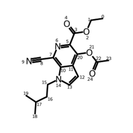 CCOC(=O)c1nc(C#N)c2c(ccn2CCC(C)C)c1OC(C)=O